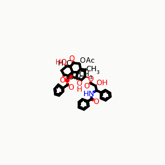 CC(=O)OC1C(=O)C2(C)C(O)CC3OC[C@@]3(OC(C)=O)C23[C@H](OC(=O)c2ccccc2)C2(O)C[C@H](OC(=O)[C@H](O)C(NC(=O)c4ccccc4)c4ccccc4)C(C)=C1C23C